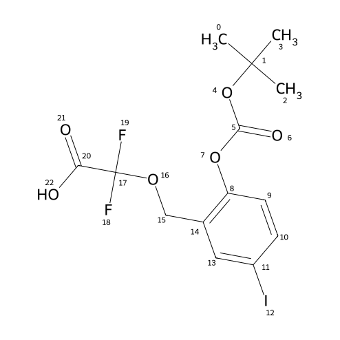 CC(C)(C)OC(=O)Oc1ccc(I)cc1COC(F)(F)C(=O)O